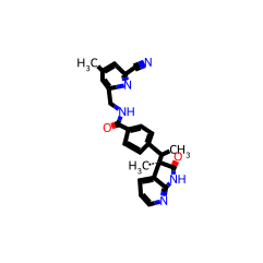 Cc1cc(C#N)nc(CNC(=O)c2ccc(C(C)[C@@]3(C)C(=O)Nc4ncccc43)cc2)c1